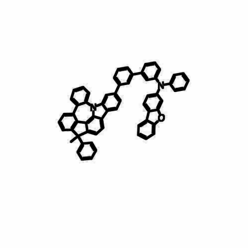 CC1(c2ccccc2)c2cccc3c2-c2c1ccc1c4ccc(-c5cccc(-c6cccc(N(c7ccccc7)c7ccc8c(c7)oc7ccccc78)c6)c5)cc4n(c21)-c1ccccc1-3